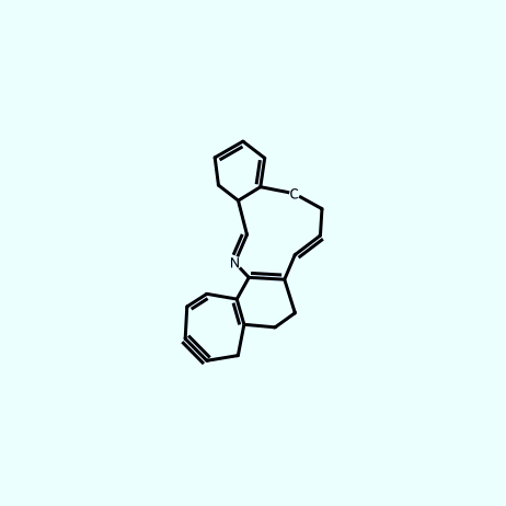 C1#CCC2=C(C=C1)C1=C(/C=C/CCC3=CC=CCC3/C=N/1)CC2